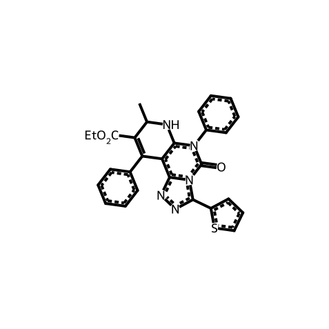 CCOC(=O)C1=C(c2ccccc2)c2c(n(-c3ccccc3)c(=O)n3c(-c4cccs4)nnc23)NC1C